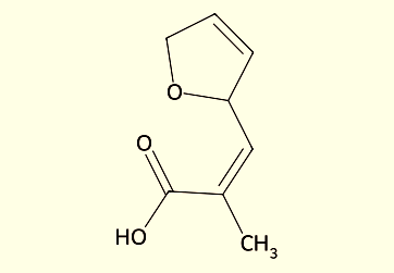 CC(=CC1C=CCO1)C(=O)O